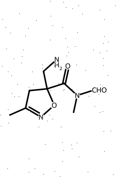 CC1=NOC(CN)(C(=O)N(C)C=O)C1